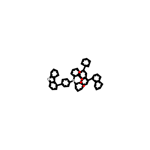 c1ccc(-c2ccc(-c3ccccc3N(c3ccc(-c4cccc5oc6ccccc6c45)cc3)c3ccccc3-c3cccc(-c4cccc5ccccc45)c3)cc2)cc1